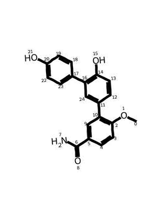 COc1ccc(C(N)=O)cc1-c1ccc(O)c(-c2ccc(O)cc2)c1